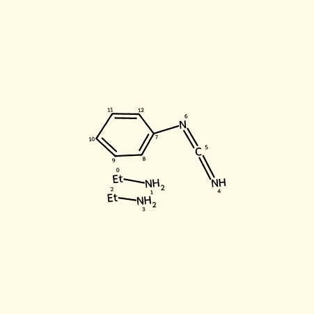 CCN.CCN.N=C=Nc1ccccc1